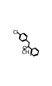 CO[C](Cc1ccc(Cl)cc1)c1ccccc1